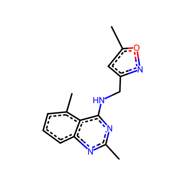 Cc1nc(NCc2cc(C)on2)c2c(C)cccc2n1